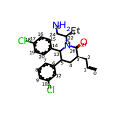 C=CC[C@H]1CC(c2cccc(Cl)c2)C(c2ccc(Cl)cc2)N(C(CC)CN)C1=O